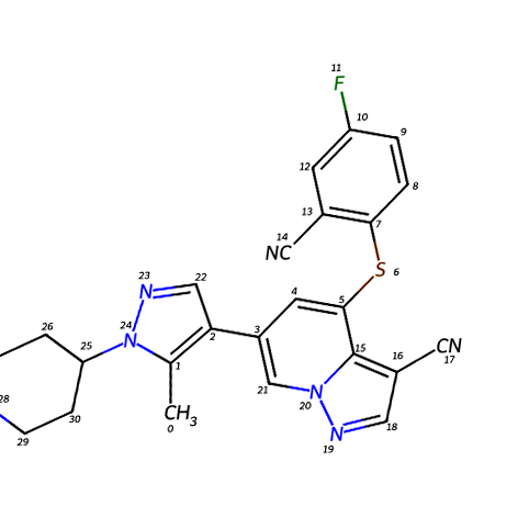 Cc1c(-c2cc(Sc3ccc(F)cc3C#N)c3c(C#N)cnn3c2)cnn1C1CCNCC1